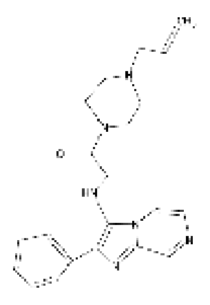 C=CCN1CCN(C(=O)CNc2c(-c3ccccc3)nc3cnccn23)CC1